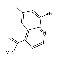 CCCc1cc(F)cc2c(C(=O)NC)ccnc12